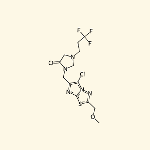 COCc1nn2c(Cl)c(CN3CN(CCC(F)(F)F)CC3=O)nc2s1